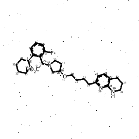 O=C(O)[C@H](c1c(F)cccc1[C@@H]1CCCCO1)N1CC[C@@H](OCCCCc2ccc3c(n2)NCCC3)C1